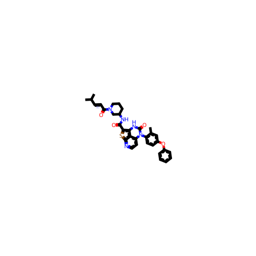 Cc1cc(Oc2ccccc2)ccc1N1C(=O)Nc2c(C(=O)NC3CCCN(C(=O)/C=C/C(C)C)C3)sc3nccc1c23